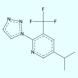 CC(C)c1cnc(-n2ccnn2)c(C(F)(F)F)c1